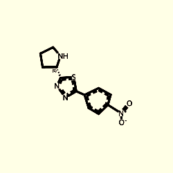 O=[N+]([O-])c1ccc(-c2nnc([C@@H]3CCCN3)s2)cc1